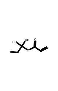 C=CC(=O)OC(O)(O)CC